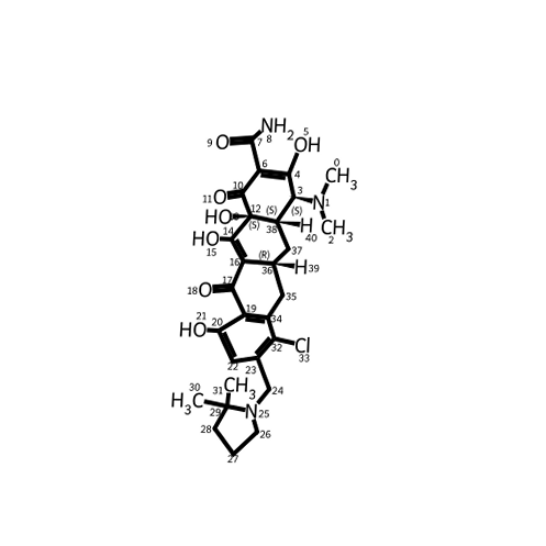 CN(C)[C@@H]1C(O)=C(C(N)=O)C(=O)[C@@]2(O)C(O)=C3C(=O)c4c(O)cc(CN5CCCC5(C)C)c(Cl)c4C[C@H]3C[C@@H]12